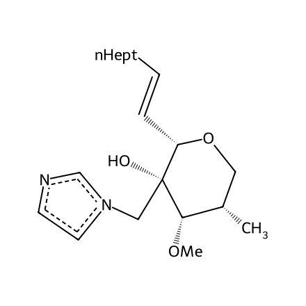 CCCCCCC/C=C/[C@@H]1OC[C@H](C)[C@H](OC)[C@@]1(O)Cn1ccnc1